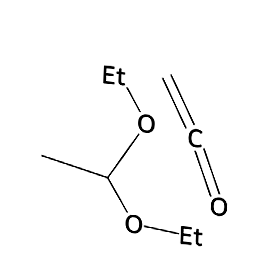 C=C=O.CCOC(C)OCC